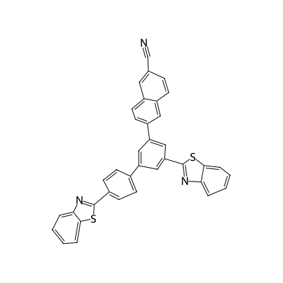 N#Cc1ccc2cc(-c3cc(-c4ccc(-c5nc6ccccc6s5)cc4)cc(-c4nc5ccccc5s4)c3)ccc2c1